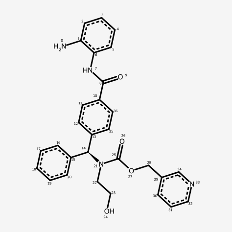 Nc1ccccc1NC(=O)c1ccc([C@H](c2ccccc2)N(CCO)C(=O)OCc2cccnc2)cc1